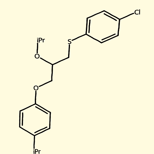 CC(C)OC(COc1ccc(C(C)C)cc1)CSc1ccc(Cl)cc1